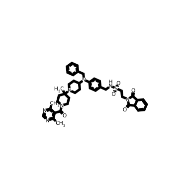 Cc1ncnc(C)c1C(=O)N1CCC(C)(N2CCC(N(Cc3ccccc3)c3ccc(CNS(=O)(=O)CCN4C(=O)C5C=CC=CC5C4=O)cc3)CC2)CC1